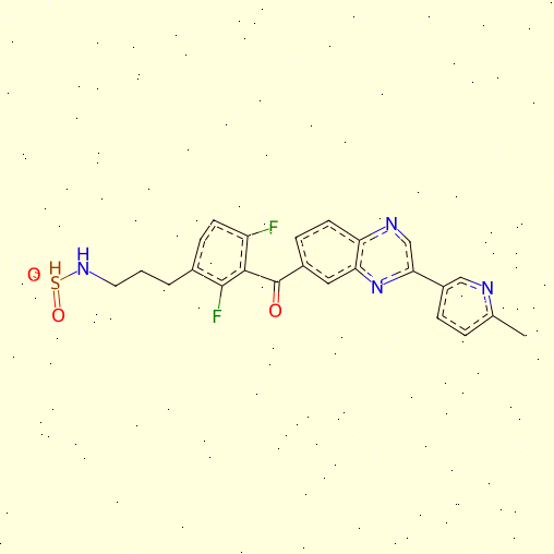 Cc1ccc(-c2cnc3ccc(C(=O)c4c(F)ccc(CCCN[SH](=O)=O)c4F)cc3n2)cn1